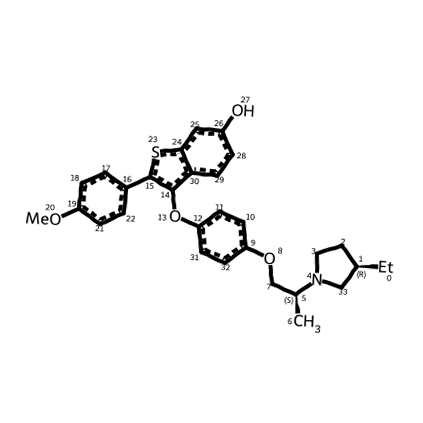 CC[C@@H]1CCN([C@@H](C)COc2ccc(Oc3c(-c4ccc(OC)cc4)sc4cc(O)ccc34)cc2)C1